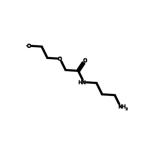 NCCCNC(=O)COCC[O]